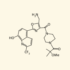 COC(C)(C)C(=O)N1CCN(C(=O)c2nc(-c3ccc(O)c4nc(C(F)(F)F)ccc34)oc2CN)CC1